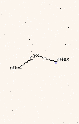 CCCCCC/C=C\CCCCCCCCOC(C)COCCCCCCCCCCCCCCCC